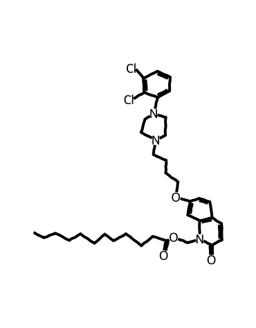 CCCCCCCCCCCC(=O)OCn1c(=O)ccc2ccc(OCCCCN3CCN(c4cccc(Cl)c4Cl)CC3)cc21